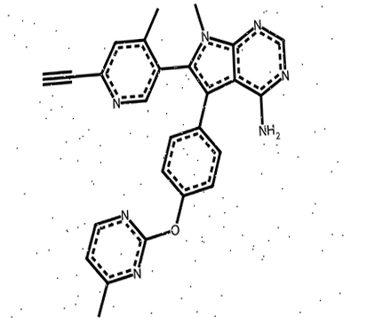 C#Cc1cc(C)c(-c2c(-c3ccc(Oc4nccc(C)n4)cc3)c3c(N)ncnc3n2C)cn1